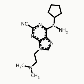 CN(C)CCn1cnc2c(N(N)C3CCCC3)nc(C#N)nc21